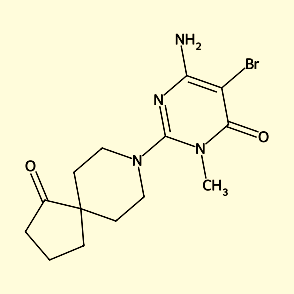 Cn1c(N2CCC3(CCCC3=O)CC2)nc(N)c(Br)c1=O